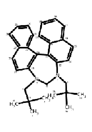 CC(C)(C)CN1CN(CC(C)(C)C)c2ccc3ccccc3c2-c2c1ccc1ccccc21